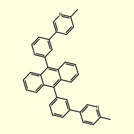 Cc1ccc(-c2cccc(-c3c4ccccc4c(-c4cccc(-c5ccc(C)nc5)c4)c4ccccc34)c2)cn1